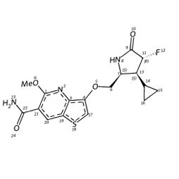 COc1nc2c(OC[C@H]3NC(=O)[C@H](F)[C@H]3C3CC3)csc2cc1C(N)=O